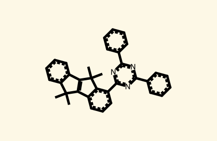 CC1(C)C2=C(c3ccccc31)C(C)(C)c1c2cccc1-c1nc(-c2ccccc2)nc(-c2ccccc2)n1